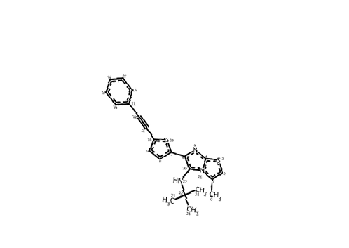 Cc1csc2nc(-c3ccc(C#Cc4ccccc4)s3)c(NC(C)(C)C)n12